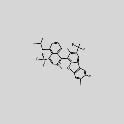 Cc1cc2oc3c(-c4c5cccc(CC(C)C)c5c(C(F)(F)F)c[n+]4C)c(C)c(C(F)(F)F)cc3c2cc1F